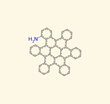 Nc1cccc2c1c1c3ccccc3c3c4ccccc4c4c5ccccc5c5c6ccccc6c6c7ccccc7c2c2c6c5c4c3c12